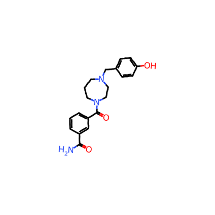 NC(=O)c1cccc(C(=O)N2CCCN(Cc3ccc(O)cc3)CC2)c1